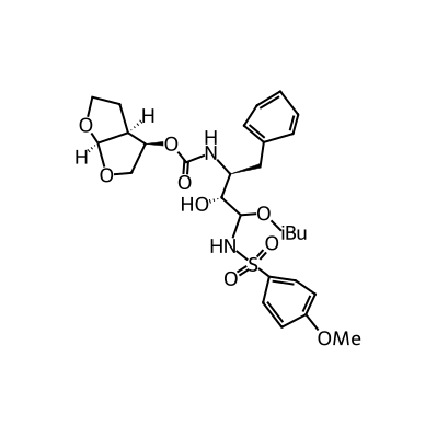 CCC(C)OC(NS(=O)(=O)c1ccc(OC)cc1)[C@H](O)[C@H](Cc1ccccc1)NC(=O)O[C@H]1CO[C@H]2OCC[C@H]21